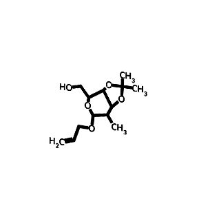 C=CCOC1OC(CO)C2OC(C)(C)OC2C1C